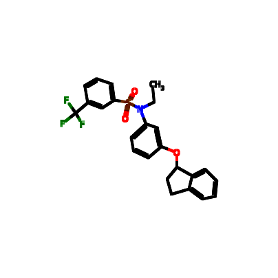 CCN(c1cccc(OC2CCc3ccccc32)c1)S(=O)(=O)c1cccc(C(F)(F)F)c1